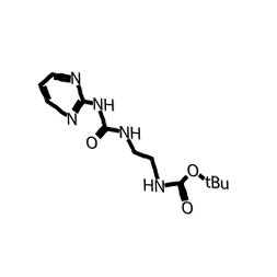 CC(C)(C)OC(=O)NCCNC(=O)Nc1ncccn1